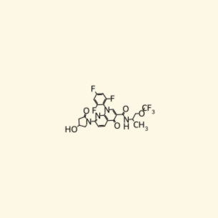 CC(COC(F)(F)F)NC(=O)c1cn(-c2c(F)cc(F)cc2F)c2nc(N3CC(O)CC3=O)ccc2c1=O